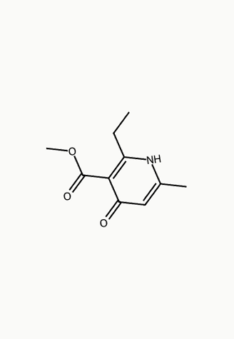 CCc1[nH]c(C)cc(=O)c1C(=O)OC